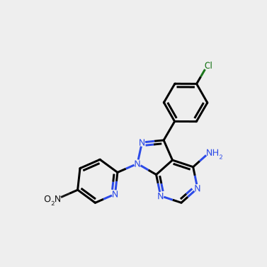 Nc1ncnc2c1c(-c1ccc(Cl)cc1)nn2-c1ccc([N+](=O)[O-])cn1